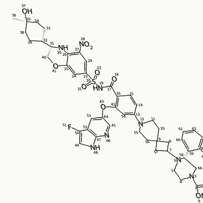 COC(=O)N1CCN(C2CC3(CCN(c4ccc(C(=O)NS(=O)(=O)c5cc6c(c([N+](=O)[O-])c5)N[C@@H]([C@H]5CC[C@](C)(O)CC5)CO6)c(Oc5cnc6[nH]cc(F)c6c5)c4)CC3)C2)[C@H](c2ccccc2C(C)C)C1